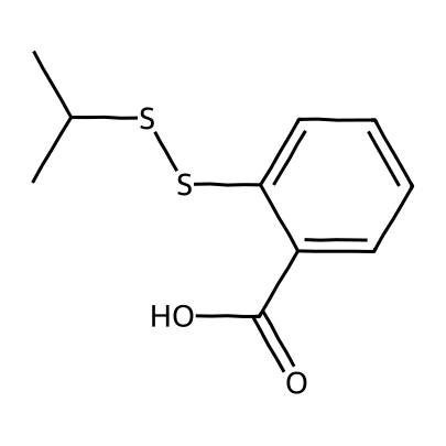 CC(C)SSc1ccccc1C(=O)O